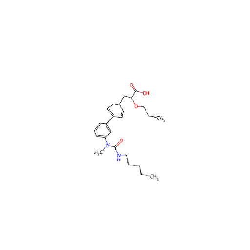 CCCCCNC(=O)N(C)c1cccc(-c2ccc(CC(OCCC)C(=O)O)cc2)c1